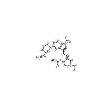 COc1ccc(CC(=O)O)c(OCc2nn(C(C)C)c3ccc(-c4cccc(CN)c4)cc23)c1